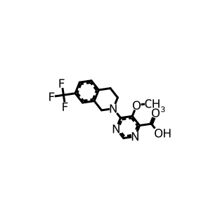 COc1c(C(=O)O)ncnc1N1CCc2ccc(C(F)(F)F)cc2C1